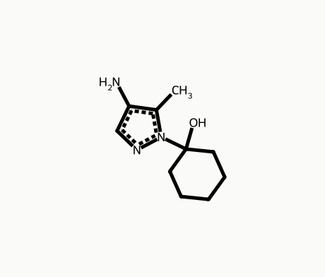 Cc1c(N)cnn1C1(O)CCCCC1